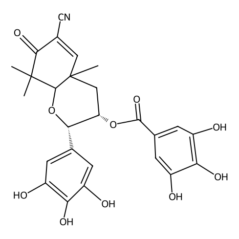 CC12C=C(C#N)C(=O)C(C)(C)C1O[C@@H](c1cc(O)c(O)c(O)c1)[C@@H](OC(=O)c1cc(O)c(O)c(O)c1)C2